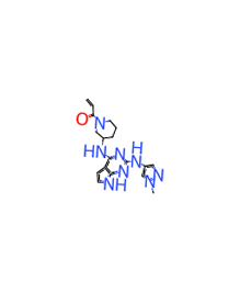 C=CC(=O)N1CCCC(Nc2nc(Nc3cnn(C)c3)nc3[nH]ccc23)C1